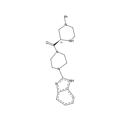 CC(C)N1CCN[C@@H](C(=O)N2CCN(c3nc4ccccc4[nH]3)CC2)C1